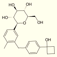 Cc1ccc([C@@H]2O[C@H](CO)[C@@H](O)[C@H](O)[C@H]2O)cc1Cc1ccc(C2(O)CCC2)cc1